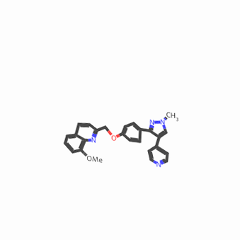 COc1cccc2ccc(COc3ccc(-c4nn(C)cc4-c4ccncc4)cc3)nc12